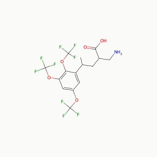 CC(CC(CN)C(=O)O)c1cc(OC(F)(F)F)cc(OC(F)(F)F)c1OC(F)(F)F